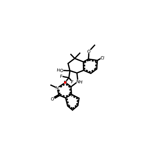 COc1c(Cl)ccc2c1C(C)(C)CC(O)(C(F)(F)F)C2Nc1nn(C)c(=O)c2ccccc12